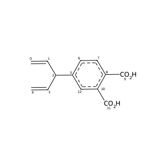 C=CC(C=C)c1ccc(C(=O)O)c(C(=O)O)c1